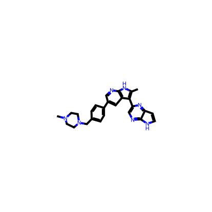 Cc1[nH]c2ncc(-c3ccc(CN4CCN(C)CC4)cc3)cc2c1-c1cnc2[nH]ccc2n1